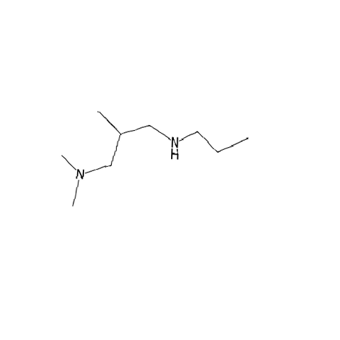 CCCNCC(C)CN(C)C